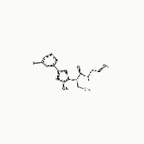 C=CCNC(=O)N(CC)c1cn(-c2cncc(F)c2)nc1C